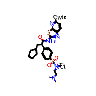 CCN(CCN(C)C)S(=O)(=O)c1ccc(C(CC2CCCC2)C(=O)Nc2nc3ccc(OC)nc3s2)cc1